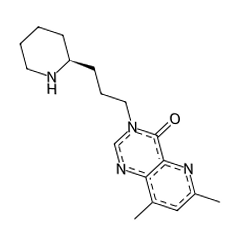 Cc1cc(C)c2ncn(CCC[C@@H]3CCCCN3)c(=O)c2n1